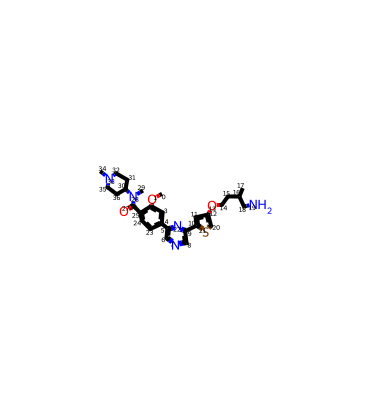 COc1cc(-c2cncc(-c3cc(OCCC(C)CN)cs3)n2)ccc1C(=O)N(C)C1CCN(C)CC1